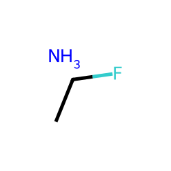 CCF.N